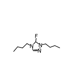 CCCCN1C=NN(CCCC)C1F